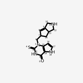 O=c1[nH]c(=S)n(CC2C=C3CNCC3C2)c2cc[nH]c12